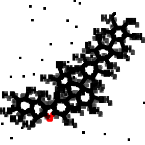 Bc1c(B)c(B)c(-c2c(B)c(B)c(-c3c(B)c(B)c(-c4c5c(B)c(B)c(B)c(B)c5c(-c5c(B)c(B)c6oc7c(B)c8c(B)c(B)c(B)c(B)c8c(B)c7c6c5B)c5c(B)c(B)c(B)c(B)c45)c(B)c3B)c(B)c2B)c(B)c1B